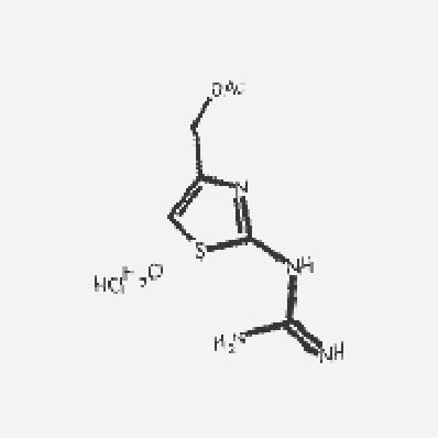 CC(=O)OCc1csc(NC(=N)N)n1.Cl.O